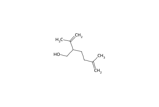 C=C(C)CCC(CO)C(=C)C